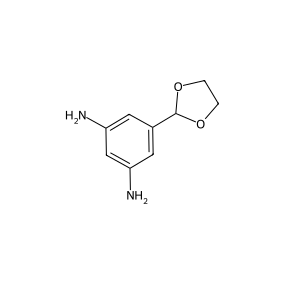 Nc1cc(N)cc(C2OCCO2)c1